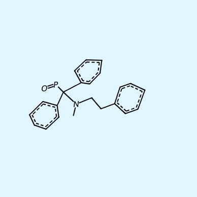 CN(CCc1ccccc1)C(P=O)(c1ccccc1)c1ccccc1